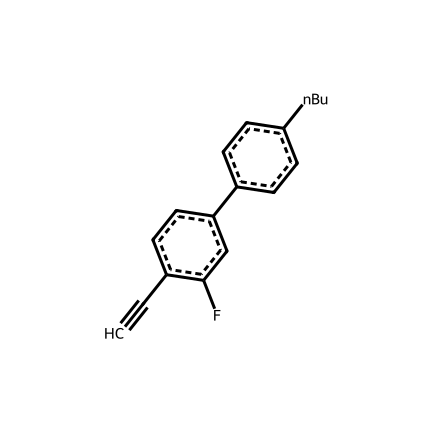 C#Cc1ccc(-c2ccc(CCCC)cc2)cc1F